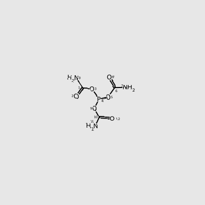 NC(=O)OP(OC(N)=O)OC(N)=O